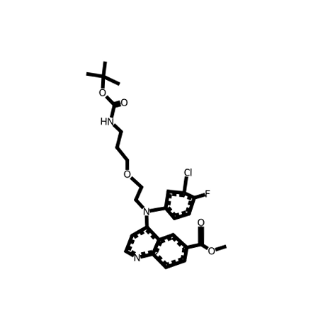 COC(=O)c1ccc2nccc(N(CCOCCCNC(=O)OC(C)(C)C)c3ccc(F)c(Cl)c3)c2c1